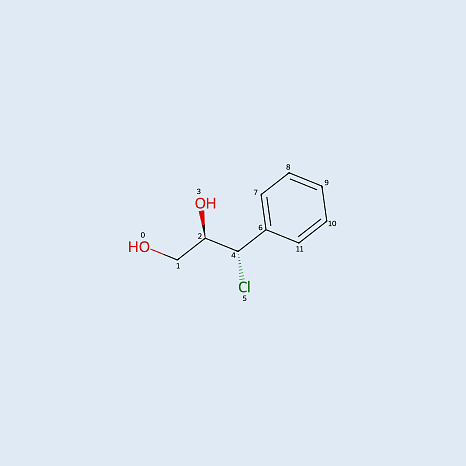 OC[C@@H](O)[C@@H](Cl)c1ccccc1